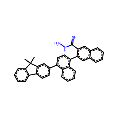 CC1(C)c2ccccc2-c2ccc(-c3ccc(-c4cc5ccccc5cc4C(=N)NN)c4ccccc34)cc21